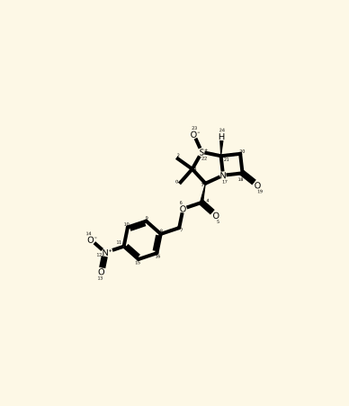 CC1(C)[C@H](C(=O)OCc2ccc([N+](=O)[O-])cc2)N2C(=O)C[C@H]2[S+]1[O-]